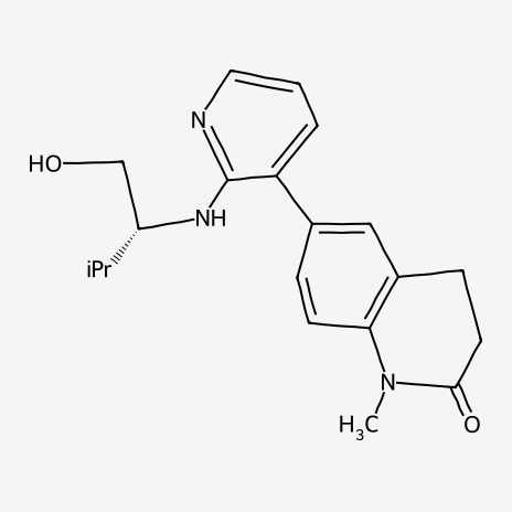 CC(C)[C@H](CO)Nc1ncccc1-c1ccc2c(c1)CCC(=O)N2C